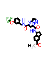 CC(=O)c1ccc2c(c1)CC[C@@H]2NC(=O)c1cc(C(=O)NCc2cccc(OC(F)(F)F)c2)nc2ccnn12